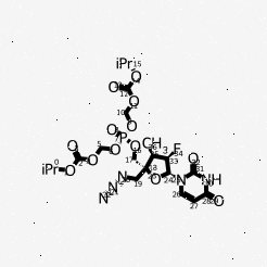 CC(C)OC(=O)OCOP(=O)(OCOC(=O)OC(C)C)OC[C@@]1(CN=[N+]=[N-])O[C@@H](n2ccc(=O)[nH]c2=O)[C@H](F)[C@@H]1C